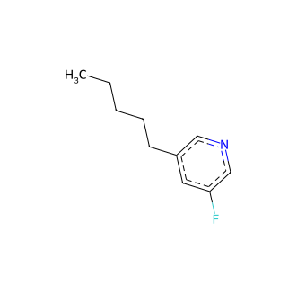 CCCCCc1cncc(F)c1